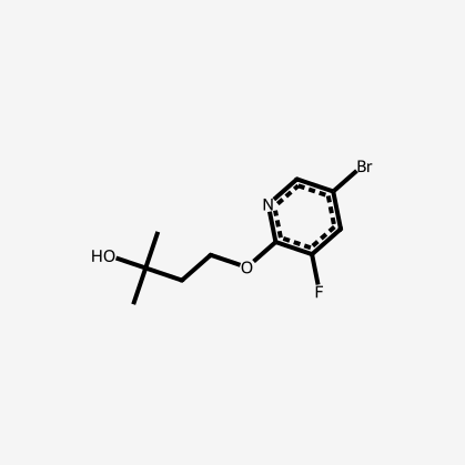 CC(C)(O)CCOc1ncc(Br)cc1F